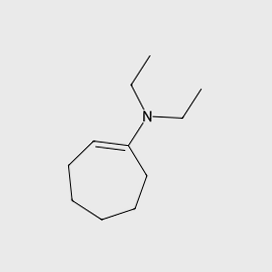 CCN(CC)C1=CCCCCC1